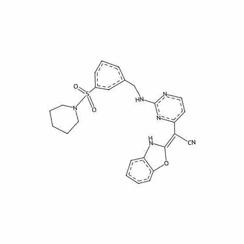 N#CC(=C1Nc2ccccc2O1)c1ccnc(NCc2cccc(S(=O)(=O)N3CCCCC3)c2)n1